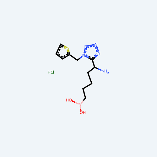 Cl.NC(CCCCB(O)O)c1nnnn1Cc1cccs1